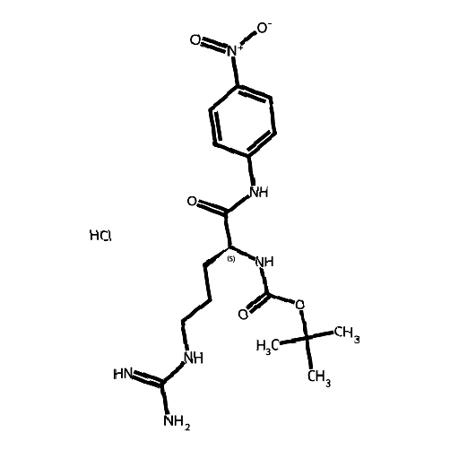 CC(C)(C)OC(=O)N[C@@H](CCCNC(=N)N)C(=O)Nc1ccc([N+](=O)[O-])cc1.Cl